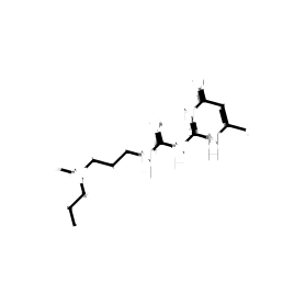 CCCN(C)CCCNC(=O)Nc1nc(=O)cc(C)[nH]1